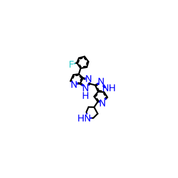 Fc1ccccc1-c1ccnc2[nH]c(-c3n[nH]c4cnc(C5CCNCC5)cc34)nc12